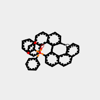 COc1ccc2ccc3ccccc3c2c1-c1c(P(=O)(c2ccccc2)c2ccccc2)ccc2ccc3ccccc3c12